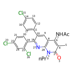 CCCn1c(=O)c(C)c(NC(C)=O)c2cc(-c3ccc(Cl)cc3)c(-c3ccc(Cl)cc3Cl)nc21